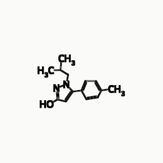 Cc1ccc(-c2cc(O)nn2CC(C)C)cc1